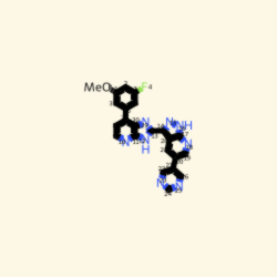 COc1cc(F)cc(-c2ccnc3[nH]c(-c4n[nH]c5ncc(-c6cncnc6)cc45)nc23)c1